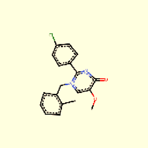 COc1cn(Cc2ccccc2C)c(-c2ccc(Cl)cc2)nc1=O